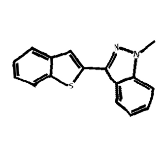 Cn1nc(-c2cc3ccccc3s2)c2ccccc21